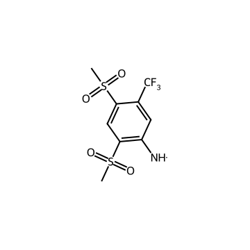 CS(=O)(=O)c1cc(S(C)(=O)=O)c(C(F)(F)F)cc1[NH]